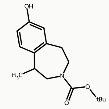 CC1CN(C(=O)OC(C)(C)C)CCc2cc(O)ccc21